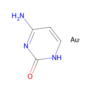 Nc1cc[nH]c(=O)n1.[Au]